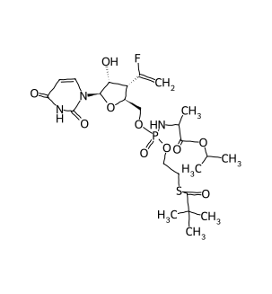 C=C(F)[C@H]1[C@@H](O)[C@H](n2ccc(=O)[nH]c2=O)O[C@@H]1COP(=O)(NC(C)C(=O)OC(C)C)OCCSC(=O)C(C)(C)C